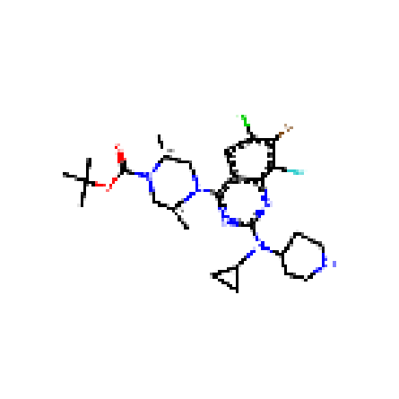 C[C@H]1CN(c2nc(N(C3CCNCC3)C3CC3)nc3c(F)c(Br)c(Cl)cc23)[C@@H](C)CN1C(=O)OC(C)(C)C